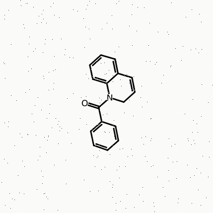 O=C(c1ccccc1)N1CC=Cc2ccccc21